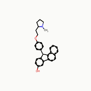 CN1CCCC1CCOc1ccc(C2c3ccc(O)cc3-c3ccc4ccccc4c32)cc1